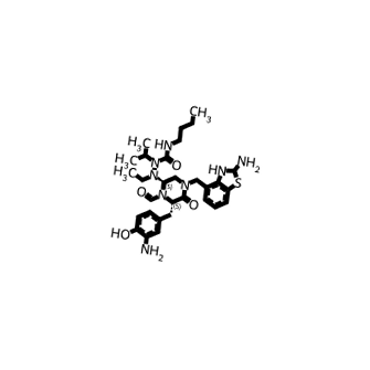 CCCCNC(=O)N(C(C)C)N(CC)[C@H]1CN(Cc2cccc3c2NC(N)S3)C(=O)[C@H](Cc2ccc(O)c(N)c2)N1C=O